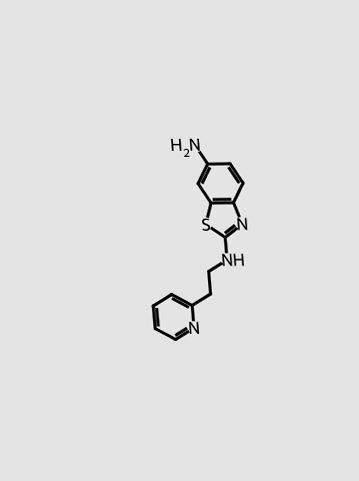 Nc1ccc2nc(NCCc3ccccn3)sc2c1